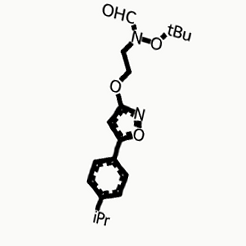 CC(C)c1ccc(-c2cc(OCCN(C=O)OC(C)(C)C)no2)cc1